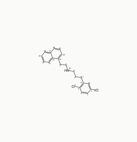 Clc1ccc(Cl)c(SCCNCCc2cccc3ccccc23)c1